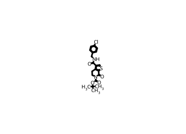 CC(C)(C)OC(=O)N1CCc2c(C(=O)NCc3ccc(Cl)cc3)csc2C1=O